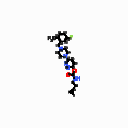 O=C(NCCC1CC1)Oc1ccc(N2CCN(Cc3cc(F)ccc3C(F)(F)F)CC2)nn1